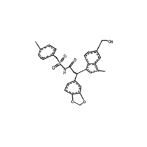 Cc1ccc(S(=O)(=O)NC(=O)C(c2ccc3c(c2)OCO3)c2cn(C)c3cc(CO)ccc23)cc1